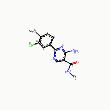 CCNC(=O)c1cnc(-c2ccc(OC)c(Cl)c2)nc1N